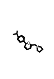 CC(C)c1ccc(C2C=CC=C(CN3CCCC3)O2)cc1